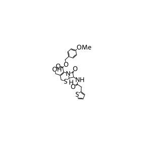 COc1ccc(COC(=O)C2=C(CO)CS[C@@H]3C(NC(=O)Cc4cccs4)C(=O)N23)cc1